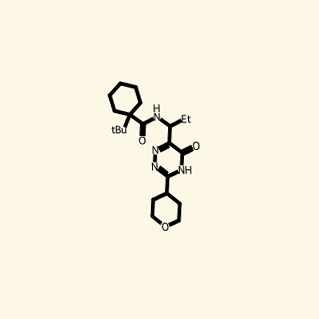 CCC(NC(=O)C1(C(C)(C)C)CCCCC1)c1nnc(C2CCOCC2)[nH]c1=O